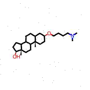 CN(C)CCCCO[C@H]1CC[C@@]2(C)C(CCC3C2CC[C@@]2(C)C3CC[C@@H]2O)C1